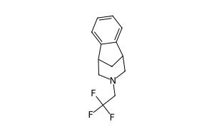 FC(F)(F)CN1CC2CC(C1)c1ccccc12